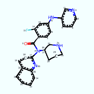 O=C(c1ccc(Nc2cccnc2)cc1F)N(c1ccc2ccccc2n1)[C@@H]1CCCNC1